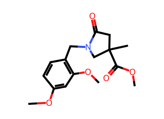 COC(=O)C1(C)CC(=O)N(Cc2ccc(OC)cc2OC)C1